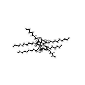 CCCCCCCCCCCC(CCCCCCCC)OC(CC(=O)O)(C(=O)O)C(C(=O)O)(C(CCCCCCCC)CCCCCCCCCCC)C(CCCCCCCC)CCCCCCCCCCC